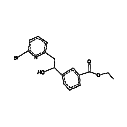 CCOC(=O)c1cccc(C(O)Cc2cccc(Br)n2)c1